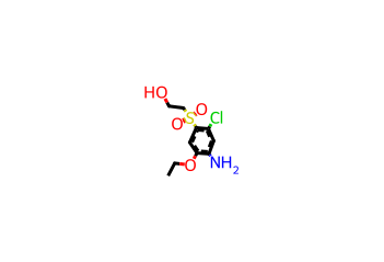 CCOc1cc(S(=O)(=O)CCO)c(Cl)cc1N